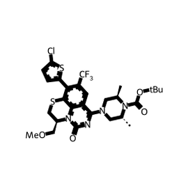 COC[C@H]1CSc2c(-c3ccc(Cl)s3)c(C(F)(F)F)cc3c(N4C[C@@H](C)N(C(=O)OC(C)(C)C)[C@H](C)C4)nc(=O)n1c23